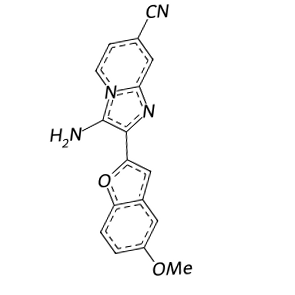 COc1ccc2oc(-c3nc4cc(C#N)ccn4c3N)cc2c1